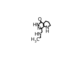 CCNCc1n[nH]c(=O)c2c1NCCC2